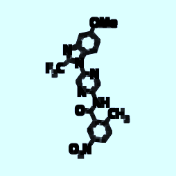 COc1ccc2c(c1)nc(C(F)(F)F)n2-c1cnc(NC(=O)c2cc([N+](=O)[O-])ccc2C)cn1